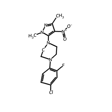 Cc1nn(C)c(N2CCN(c3ccc(Cl)cc3F)CC2)c1[N+](=O)[O-]